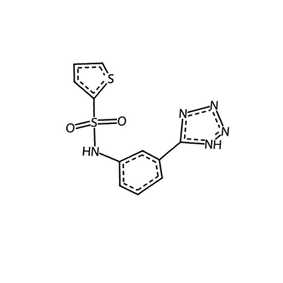 O=S(=O)(Nc1cccc(-c2nnn[nH]2)c1)c1cccs1